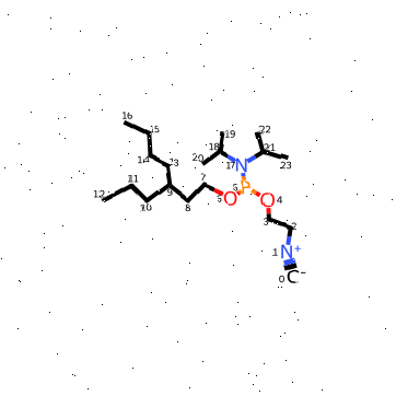 [C-]#[N+]CCOP(OCCC(CCC)CCCC)N(C(C)C)C(C)C